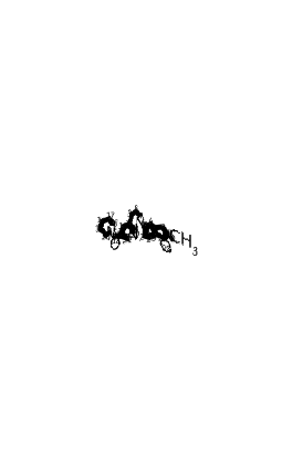 CN1Cc2cc(N3CCCc4cc(C(=O)N5CCCCC5)cnc43)ccc2C1=O